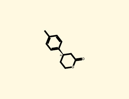 Cc1ccc([C@@H]2CCOC(=O)C2)cc1